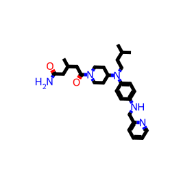 CC(C)CCN(c1ccc(NCc2ccccn2)cc1)C1CCN(C(=O)CC(C)CC(N)=O)CC1